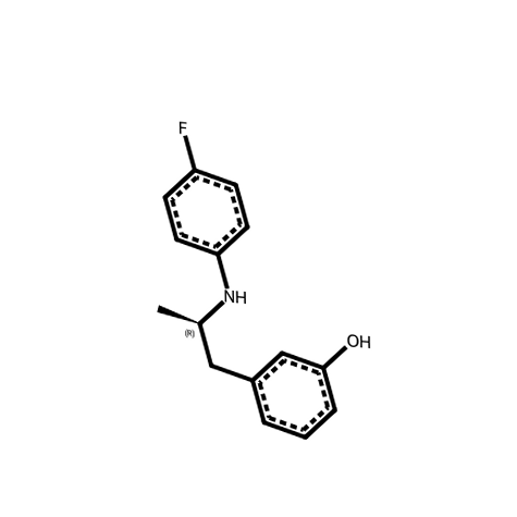 C[C@H](Cc1cccc(O)c1)Nc1ccc(F)cc1